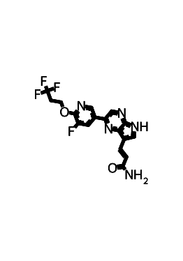 NC(=O)C=Cc1c[nH]c2ncc(-c3cnc(OCCC(F)(F)F)c(F)c3)nc12